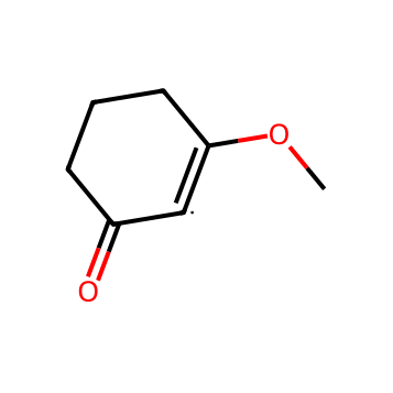 COC1=[C]C(=O)CCC1